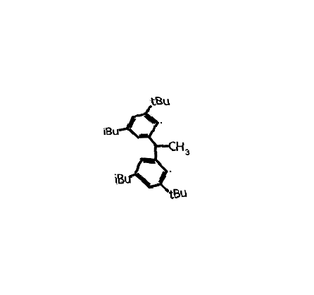 CCC(C)c1cc(C(C)c2[c]c(C(C)(C)C)cc(C(C)CC)c2)[c]c(C(C)(C)C)c1